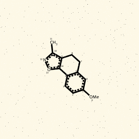 COc1ccc2c(c1)CCc1c(C)noc1-2